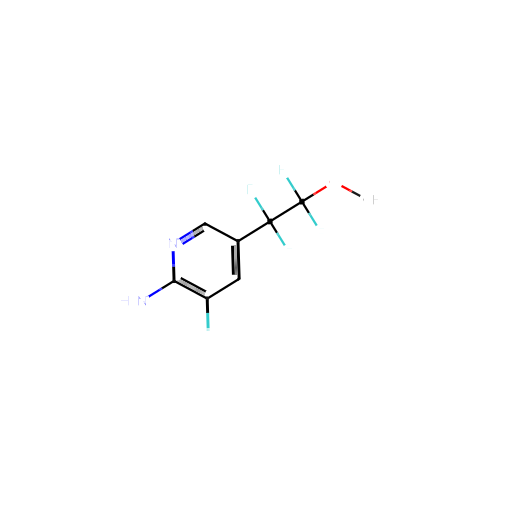 Nc1ncc(C(F)(F)C(F)(F)OC(F)(F)F)cc1F